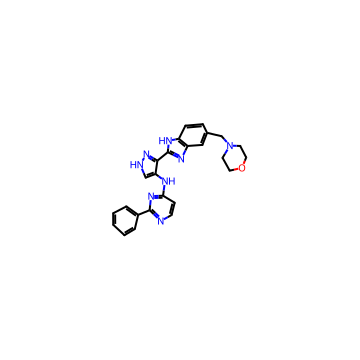 c1ccc(-c2nccc(Nc3c[nH]nc3-c3nc4cc(CN5CCOCC5)ccc4[nH]3)n2)cc1